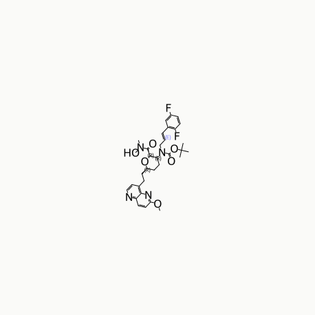 COc1ccc2nccc(CC[C@@H]3CC[C@@H](N(C/C=C/c4cc(F)ccc4F)C(=O)OC(C)(C)C)[C@H](C(=O)N(C)O)O3)c2n1